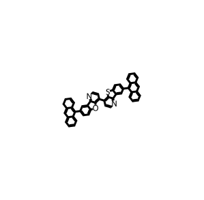 C1=Cc2c(cc3ccccc3c2-c2ccc3oc4c(-c5ccnc6c5sc5ccc(-c7c8ccccc8cc8ccccc78)cc56)ccnc4c3c2)CC1